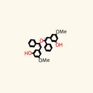 COc1cc(O)cc(/C=C(/O/C(=C/c2cc(O)cc(OC)c2)c2ccccc2)c2ccccc2)c1